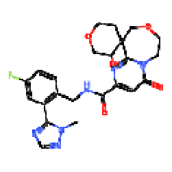 Cn1ncnc1-c1cc(F)ccc1CNC(=O)c1cc(=O)n2c(n1)C1(CCOCC1O)COCC2